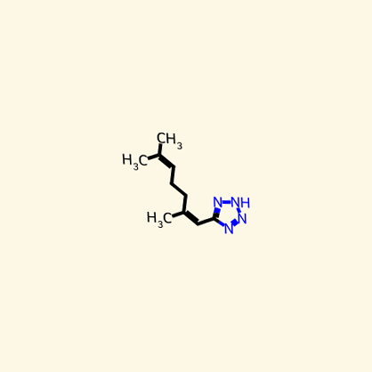 CC(C)=CCCC(C)=Cc1nn[nH]n1